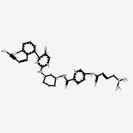 CC#C/C=C\c1c(C)cccc1-c1nc(N[C@@H]2CCC[C@H](NC(=O)c3ccc(NC(=O)/C=C/CN(C)C)cn3)C2)ncc1Cl